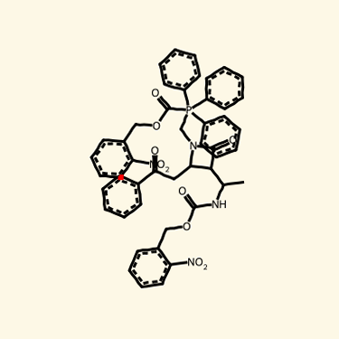 CC(NC(=O)OCc1ccccc1[N+](=O)[O-])C1C(=O)N(CP(C(=O)OCc2ccccc2[N+](=O)[O-])(c2ccccc2)(c2ccccc2)c2ccccc2)C1CC(=O)c1ccccc1